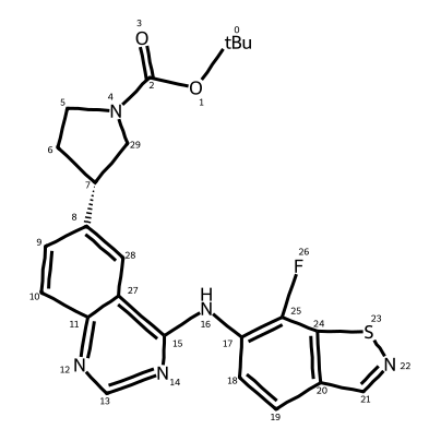 CC(C)(C)OC(=O)N1CC[C@@H](c2ccc3ncnc(Nc4ccc5cnsc5c4F)c3c2)C1